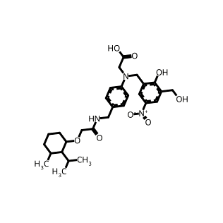 CC(C)C1C(C)CCCC1OCC(=O)NCc1ccc(N(CC(=O)O)Cc2cc([N+](=O)[O-])cc(CO)c2O)cc1